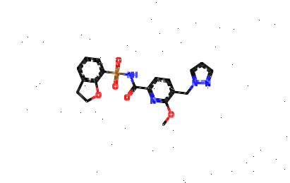 COc1nc(C(=O)NS(=O)(=O)c2cccc3c2OCC3)ccc1Cn1cccn1